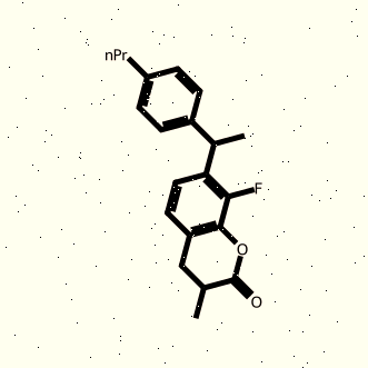 CCCc1ccc(C(C)c2ccc3c(c2F)OC(=O)C(C)C3)cc1